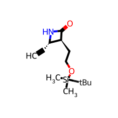 C#C[C@@H]1NC(=O)[C@H]1CCO[Si](C)(C)C(C)(C)C